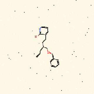 C=CCC(CCc1cccnc1Br)COCc1ccccc1